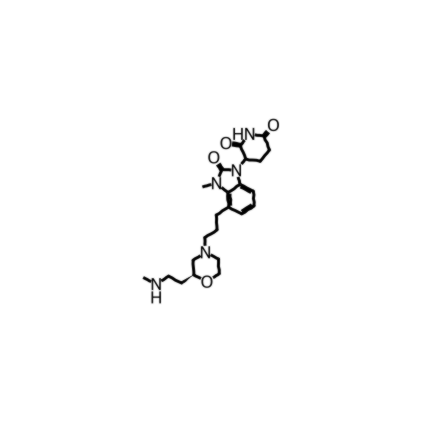 CNCC[C@H]1CN(CCCc2cccc3c2n(C)c(=O)n3C2CCC(=O)NC2=O)CCO1